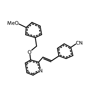 COc1cccc(COc2cccnc2C=Cc2ccc(C#N)cc2)c1